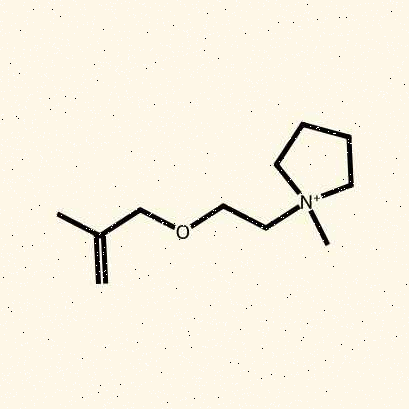 C=C(C)COCC[N+]1(C)CCCC1